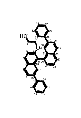 OCCOc1ccc2ccc(-c3ccccc3)cc2c1-c1cccc2ccc(-c3ccccc3)cc12